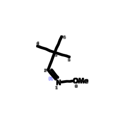 CO/N=C\C(C)(C)C